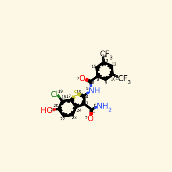 NC(=O)c1c(NC(=O)c2cc(C(F)(F)F)cc(C(F)(F)F)c2)sc2c(Cl)c(O)ccc12